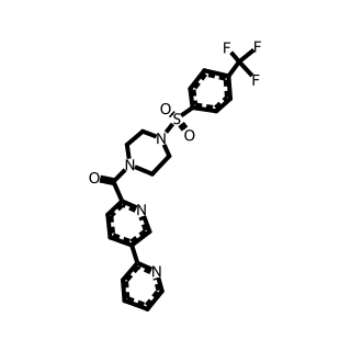 O=C(c1ccc(-c2ccccn2)cn1)N1CCN(S(=O)(=O)c2ccc(C(F)(F)F)cc2)CC1